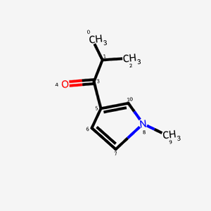 CC(C)C(=O)c1ccn(C)c1